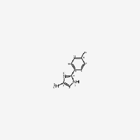 [2H]c1c[nH]c(-c2ccc(C)cc2)n1